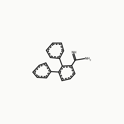 N=C(N)c1cccc(-c2ccccc2)c1-c1ccccc1